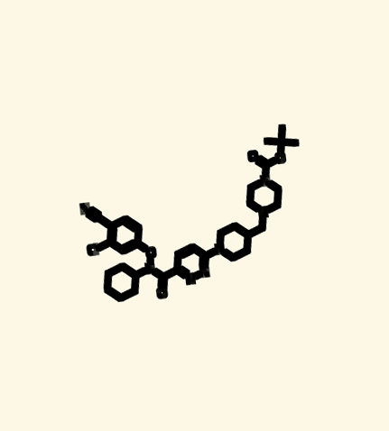 CC(C)(C)OC(=O)N1CCN(CC2CCN(c3ccc(C(=O)N(Oc4ccc(C#N)c(Cl)c4)C4CCCCC4)nn3)CC2)CC1